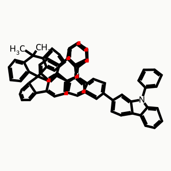 CC1(C)c2ccccc2C2(c3ccccc3-c3ccc(N(c4ccc(-c5ccc6c7ccccc7n(-c7ccccc7)c6c5)cc4)c4ccccc4-c4ccccc4-c4ccccc4-c4ccccc4)cc32)c2ccccc21